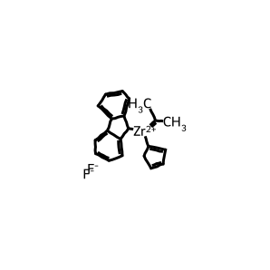 C[C](C)=[Zr+2]([C]1=CC=CC1)[CH]1c2ccccc2-c2ccccc21.[F-].[F-]